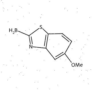 Bc1nc2cc(OC)ccc2s1